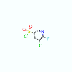 O=S(=O)(Cl)c1cnc(F)c(Cl)c1